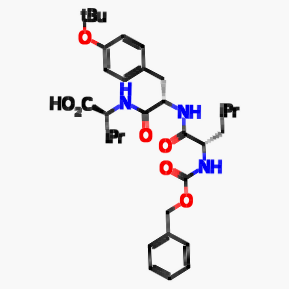 CC(C)C[C@H](NC(=O)OCc1ccccc1)C(=O)N[C@@H](Cc1ccc(OC(C)(C)C)cc1)C(=O)N[C@H](C(=O)O)C(C)C